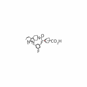 C=Nc1c(/C=C\C)c2c(n1Cc1cc(F)cc(F)c1)CN(C(=O)CC13CCC(C(=O)O)(CC1)CC3)CC2